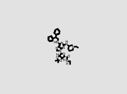 CCNC(=O)[C@H]1O[C@@H](n2cnc3c(NCC(c4ccccc4)c4ccccc4)nc(NC4CCCN(CC)C4)nc32)[C@@H]2OC(C)(C)O[C@@H]21